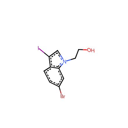 OCCn1cc(I)c2ccc(Br)cc21